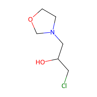 OC(CCl)CN1CCOC1